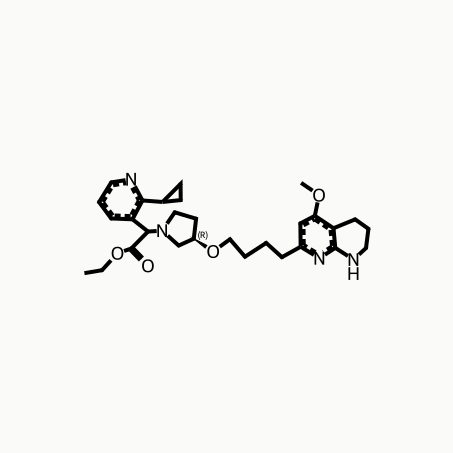 CCOC(=O)C(c1cccnc1C1CC1)N1CC[C@@H](OCCCCc2cc(OC)c3c(n2)NCCC3)C1